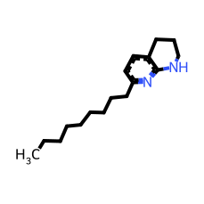 CCCCCCCCCc1ccc2c(n1)NCCC2